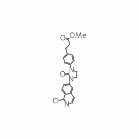 COC(=O)CCc1ccc(N2CCN(c3ccc4c(Cl)nccc4c3)C2=O)cc1